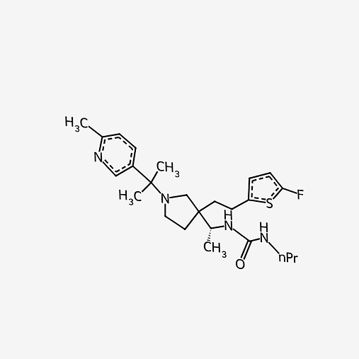 CCCNC(=O)N[C@H](C)C1(CCc2ccc(F)s2)CCN(C(C)(C)c2ccc(C)nc2)C1